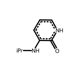 CC(C)Nc1ccc[nH]c1=O